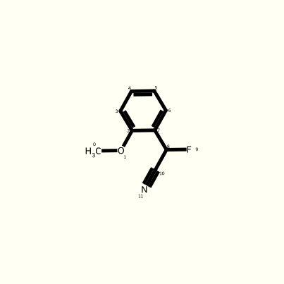 COc1ccccc1C(F)C#N